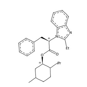 CCc1nc2ccccc2n1[C@H](Cc1ccccc1)C(=O)O[C@@H]1CC(C)CCC1C(C)C